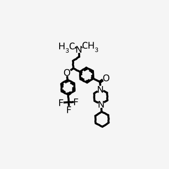 CN(C)CCC(Oc1ccc(C(F)(F)F)cc1)c1ccc(C(=O)N2CCN(C3CCCCC3)CC2)cc1